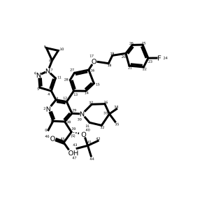 Cc1nc(-c2cnn(C3CC3)c2)c(-c2ccc(OCCc3ccc(F)cc3)cc2)c(N2CCC(C)(C)CC2)c1[C@H](OC(C)(C)C)C(=O)O